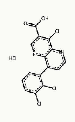 Cl.O=C(O)c1cnc2c(-c3cccc(Cl)c3Cl)ccnc2c1Cl